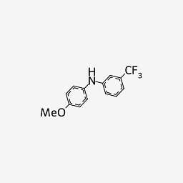 COc1ccc(Nc2cccc(C(F)(F)F)c2)cc1